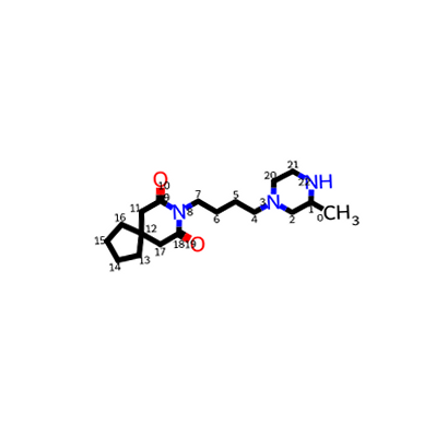 CC1CN(CCCCN2C(=O)CC3(CCCC3)CC2=O)CCN1